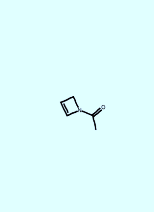 CC(=O)N1C=CC1